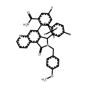 COc1ccc(CN2C(=O)c3c(c(-c4c(C(N)=O)cc(F)cc4C(F)(F)F)cc4ncccc34)C2c2cc(F)ccc2Cl)cc1